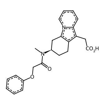 CN(C(=O)COc1ccccc1)[C@@H]1CCc2c(CC(=O)O)c3ccccn3c2C1